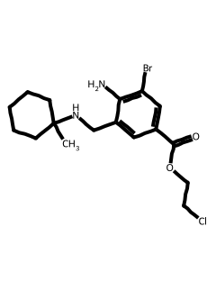 CC1(NCc2cc(C(=O)OCCCl)cc(Br)c2N)CCCCC1